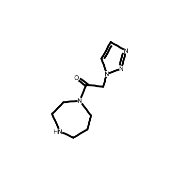 O=C(Cn1ccnn1)N1CCCNCC1